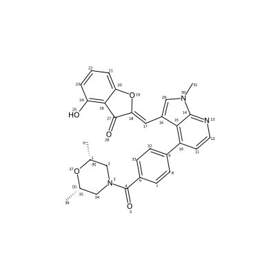 C[C@@H]1CN(C(=O)c2ccc(-c3ccnc4c3c(C=C3Oc5cccc(O)c5C3=O)cn4C)cc2)C[C@H](C)O1